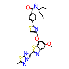 CCCC(CC)N(C)C(=O)c1ccc(-c2nc(COc3cc(OC)cc4nc(-c5cn6nc(C)sc6n5)sc34)cs2)cc1